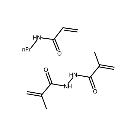 C=C(C)C(=O)NNC(=O)C(=C)C.C=CC(=O)NCCC